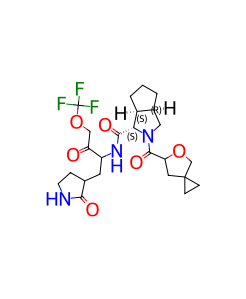 O=C1NCCC1CC(NC(=O)[C@@H]1[C@H]2CCC[C@H]2CN1C(=O)C1CC2(CC2)CO1)C(=O)COC(F)(F)F